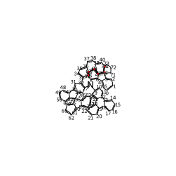 c1ccc2c(c1)-c1c(N(c3ccc4c5ccccc5c5ccccc5c4c3)c3cc4c(cc3-c3ccc5ccc6ccccc6c5c3)-c3ccccc3C43c4ccccc4-c4ccccc43)cccc1C21CCCC1